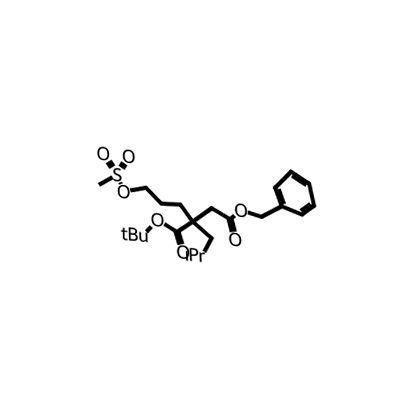 CC(C)CC(CCCOS(C)(=O)=O)(CC(=O)OCc1ccccc1)C(=O)OC(C)(C)C